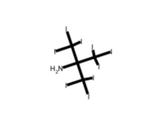 NC(C(I)(I)I)(C(I)(I)I)C(I)(I)I